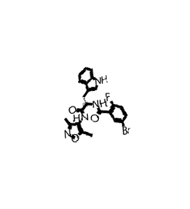 Cc1noc(C)c1NC(=O)[C@H](Cc1c[nH]c2ccccc12)NC(=O)c1cc(Br)ccc1F